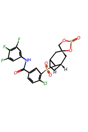 O=C(Nc1cc(F)c(F)c(F)c1)c1ccc(Cl)c(S(=O)(=O)[C@H]2C3CC[C@H]2C[C@]2(COS(=O)O2)C3)c1